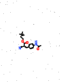 CC(=O)Nc1ccc(C=C(C#N)C(=O)OCC[Si](C)(C)C)cc1